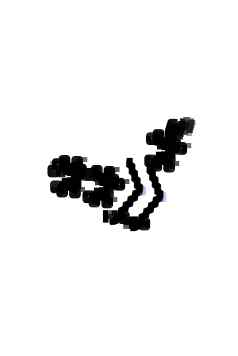 CCCCCCCC/C=C\CCCCCCCC(=O)NCC.CCCCCCCC/C=C\CCCCCCCC(=O)NCC.O=C([O-])CN(CCN(CC(=O)[O-])CC(=O)[O-])CCN(CC(=O)[O-])CC(=O)[O-].O=C([O-])CN(CCN(CC(=O)[O-])CC(=O)[O-])CCN(CC(=O)[O-])CC(=O)[O-].O=C([O-])CN(CCN(CC(=O)[O-])CC(=O)[O-])CCN(CC(=O)[O-])CC(=O)[O-].[Gd+3].[Gd+3].[Gd+3].[Gd+3].[Gd+3]